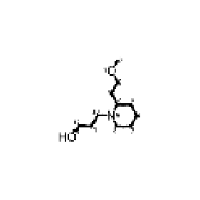 COCCC1CCCCN1CCCO